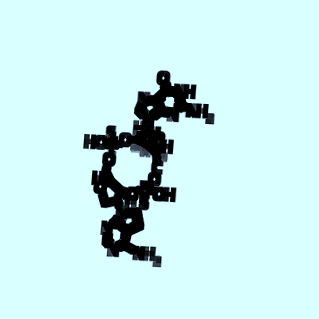 Nc1nc2c(ncn2[C@@H]2O[C@@H]3COP(O)(=S)O[C@H]4C(n5ccc6c(N)ncnc65)CO[C@@H]4COP(O)(=S)O[C@@H]2[C@@H]3F)c(=O)[nH]1